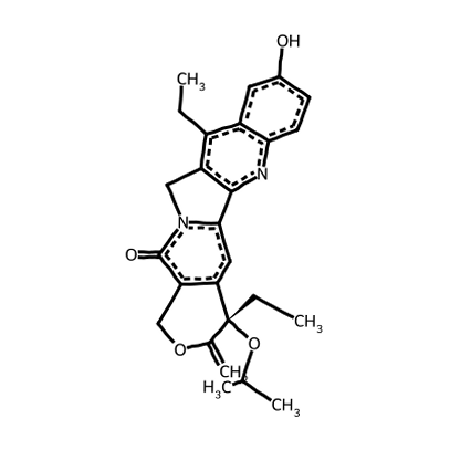 C=C1OCc2c(cc3n(c2=O)Cc2c-3nc3ccc(O)cc3c2CC)[C@]1(CC)OC(C)C